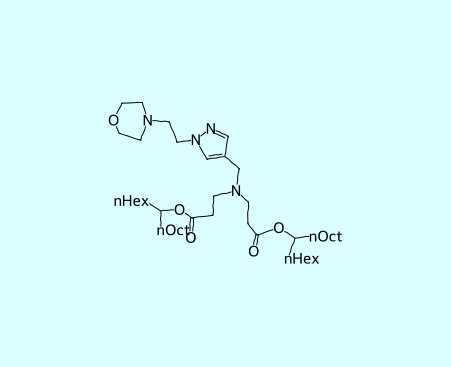 CCCCCCCCC(CCCCCC)OC(=O)CCN(CCC(=O)OC(CCCCCC)CCCCCCCC)Cc1cnn(CCN2CCOCC2)c1